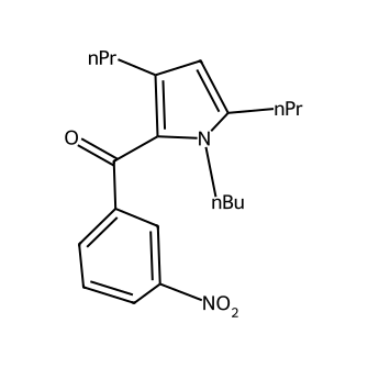 CCCCn1c(CCC)cc(CCC)c1C(=O)c1cccc([N+](=O)[O-])c1